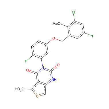 COc1c(Cl)cc(F)cc1COc1ccc(F)c(-n2c(=O)[nH]c3csc(C(=O)O)c3c2=O)c1